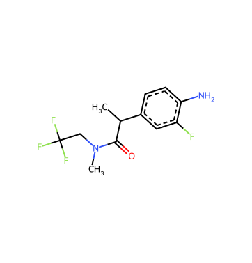 CC(C(=O)N(C)CC(F)(F)F)c1ccc(N)c(F)c1